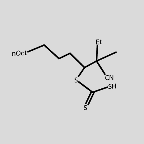 CCCCCCCCCCCC(SC(=S)S)C(C)(C#N)CC